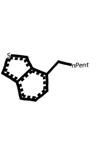 CCCCCCc1cccc2cs[c]c12